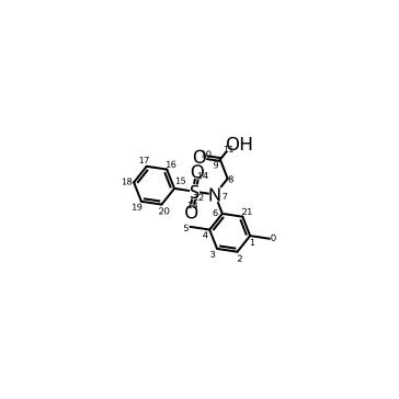 Cc1ccc(C)c(N(CC(=O)O)S(=O)(=O)c2ccccc2)c1